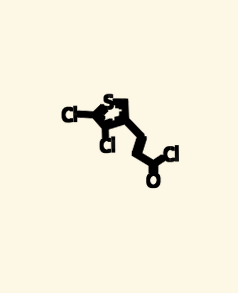 O=C(Cl)C=Cc1csc(Cl)c1Cl